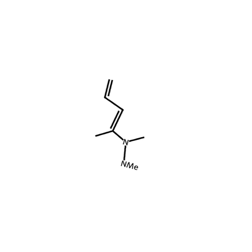 C=C/C=C(\C)N(C)NC